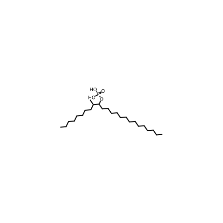 CCCCCCCCCCCCCCC(OP(=O)(O)O)C(C)CCCCCCCC